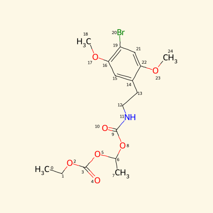 CCOC(=O)OC(C)OC(=O)NCCc1cc(OC)c(Br)cc1OC